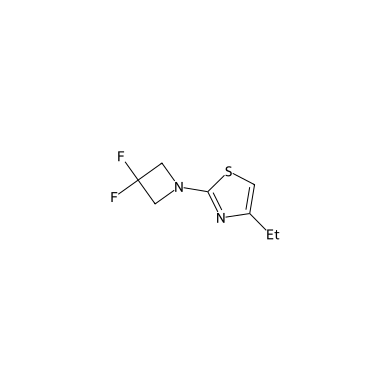 CCc1csc(N2CC(F)(F)C2)n1